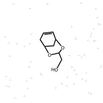 OCC1OC2C=CCC(C2)O1